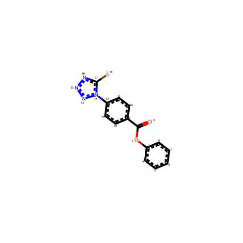 O=C(Oc1ccccc1)c1ccc(-n2nnnc2[S])cc1